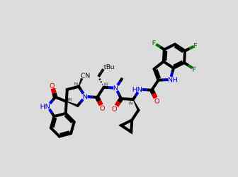 CN(C(=O)[C@H](CC1CC1)NC(=O)c1cc2c(F)cc(F)c(F)c2[nH]1)[C@@H](CC(C)(C)C)C(=O)N1C[C@]2(C[C@H]1C#N)C(=O)Nc1ccccc12